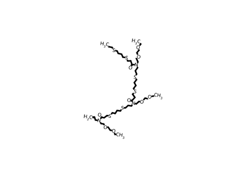 C=CCN(CCOCCOCC)C(=O)CCSCCCCSCCCN(CCOCCOCC)C(=O)CCSCCCCSCCCN(CCOCCOCC)C(=O)CCSCCCCSCCC